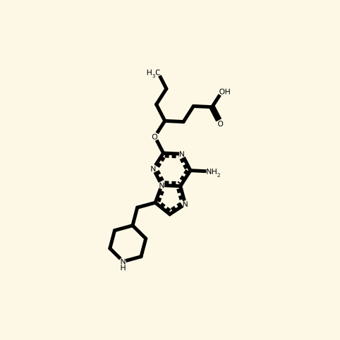 CCCC(CCC(=O)O)Oc1nc(N)c2ncc(CC3CCNCC3)n2n1